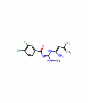 C=C(/C=C(\N)N/C(=N\C(=O)c1ccc(Cl)c(F)c1)NC(C)C)C(F)(F)F